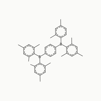 Cc1ccc(B(c2ccc(B(c3c(C)cc(C)cc3C)c3c(C)cc(C)cc3C)cc2)c2c(C)cc(C)cc2C)c(C)c1